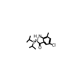 Cc1cc(Cl)cc(C(=O)N=S(C(C)C)C(C)C)c1N